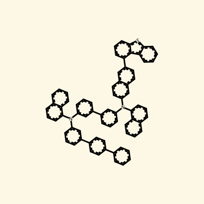 c1ccc(-c2ccc(-c3cccc(N(c4cccc(-c5cccc(N(c6ccc7cc(-c8cccc9sc%10ccccc%10c89)ccc7c6)c6cccc7ccccc67)c5)c4)c4cccc5ccccc45)c3)cc2)cc1